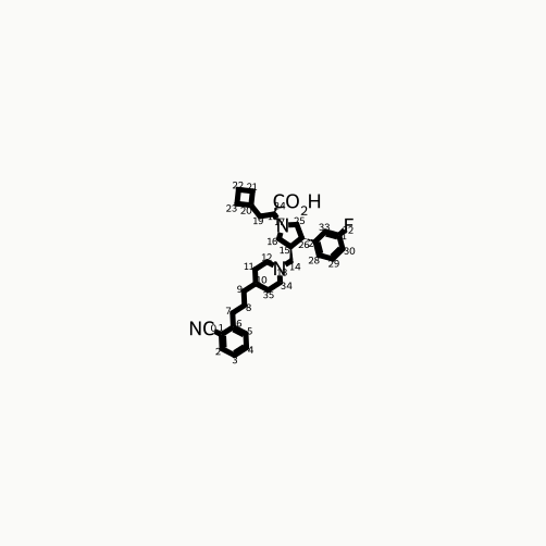 N#Cc1ccccc1CCCC1CCN(C[C@H]2CN([C@H](CC3CCC3)C(=O)O)C[C@@H]2c2cccc(F)c2)CC1